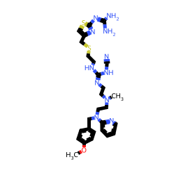 COc1ccc(CN(CCN(C)CC/N=C(\NC#N)NCCSCc2csc(N=C(N)N)n2)c2ccccn2)cc1